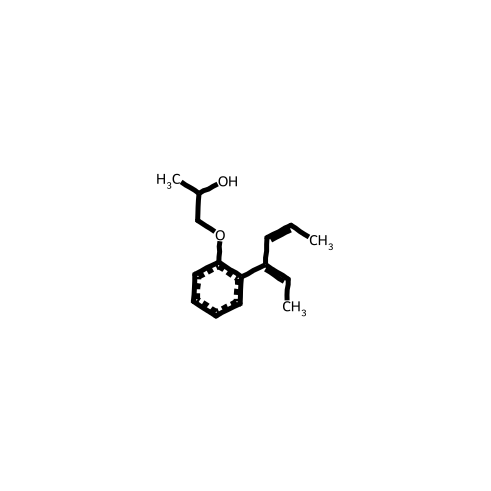 C/C=C\C(=C\C)c1ccccc1OCC(C)O